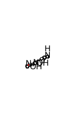 O[C@@H](COc1ccc2[nH]ccc2c1)CN1CCC(O)(c2cnc3ccccc3c2)CC1